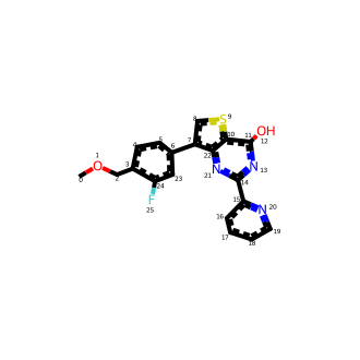 COCc1ccc(-c2csc3c(O)nc(-c4ccccn4)nc23)cc1F